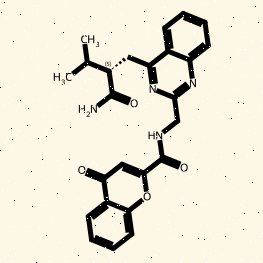 CC(C)[C@H](Cc1nc(CNC(=O)c2cc(=O)c3ccccc3o2)nc2ccccc12)C(N)=O